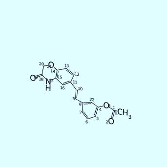 CC(=O)Oc1cccc(C=Cc2ccc3c(c2)NC(=O)CO3)c1